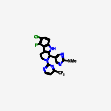 CNc1ncc(C2c3[nH]c4ccc(Cl)c(F)c4c3CCN2c2nccc(C(F)(F)F)n2)cn1